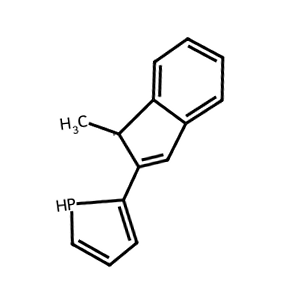 C[C]1C(c2ccc[pH]2)=Cc2ccccc21